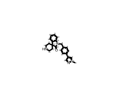 Cn1cc(-c2ccc(CN3C(=O)C4(CCNCC4)c4ccccc43)cc2)cn1